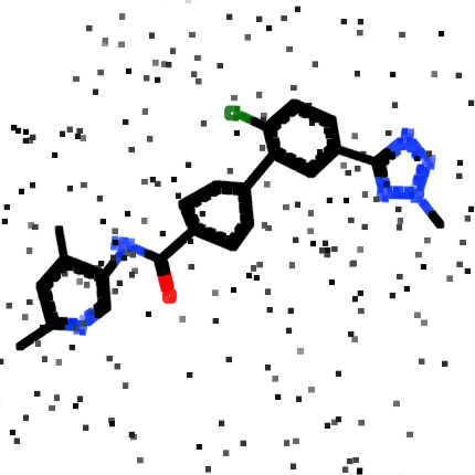 Cc1cc(C)c(NC(=O)c2ccc(-c3cc(-c4nnn(C)n4)ccc3Cl)cc2)cn1